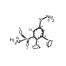 NSc1cc(Cl)c(Cl)c(S(N)(=O)=O)c1